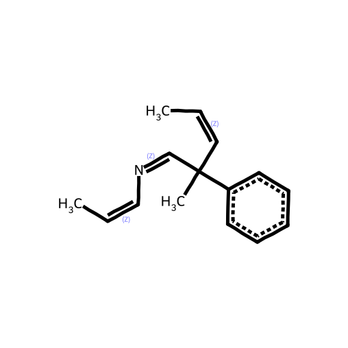 C/C=C\N=C/C(C)(/C=C\C)c1ccccc1